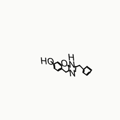 O=C1NC(Cc2ccccc2)C=NC1Cc1ccc(O)cc1